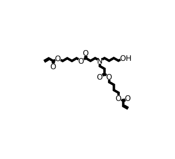 C=CC(=O)OCCCCOC(=O)CCN(CCCCO)CCC(=O)OCCCCOC(=O)C=C